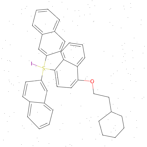 IS(c1ccc2ccccc2c1)(c1ccc2ccccc2c1)c1ccc(OCCC2CCCCC2)c2ccccc12